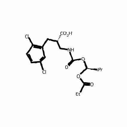 CCC(=O)O[C@@H](OC(=O)NC[C@H](Cc1cc(Cl)ccc1Cl)C(=O)O)C(C)C